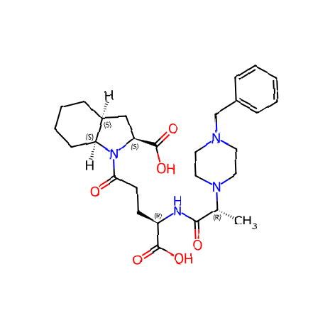 C[C@H](C(=O)N[C@H](CCC(=O)N1[C@H](C(=O)O)C[C@@H]2CCCC[C@@H]21)C(=O)O)N1CCN(Cc2ccccc2)CC1